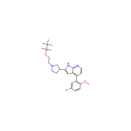 COc1ccc(F)cc1-c1ccnc2[nH]c(C3CCN(CCO[Si](C)(C)C(C)(C)C)C3)cc12